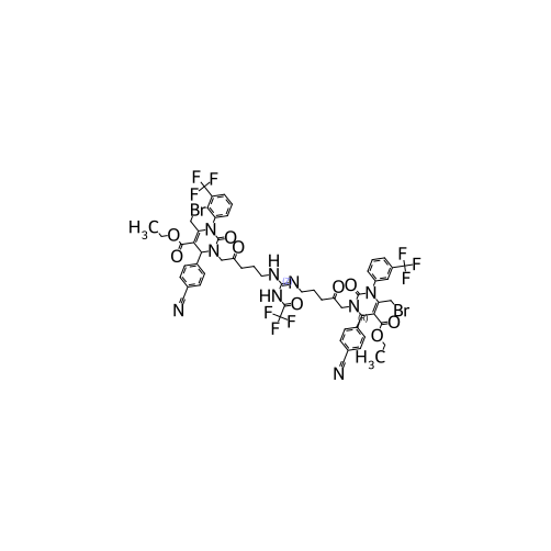 CCOC(=O)C1=C(CBr)N(c2cccc(C(F)(F)F)c2)C(=O)N(CC(=O)CCCN/C(=N/CCCC(=O)CN2C(=O)N(c3cccc(C(F)(F)F)c3)C(CBr)=C(C(=O)OCC)[C@H]2c2ccc(C#N)cc2)NC(=O)C(F)(F)F)C1c1ccc(C#N)cc1